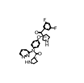 O=C([C@H]1CCNC1)N(c1ccc(O[C@@]2(C(=O)c3cc(F)cc(F)c3)CCNC2)cc1)c1cccnn1